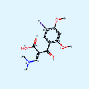 COc1cc(OC)c(C(=O)/C(=C/N(C)C)C(=O)O)cc1I